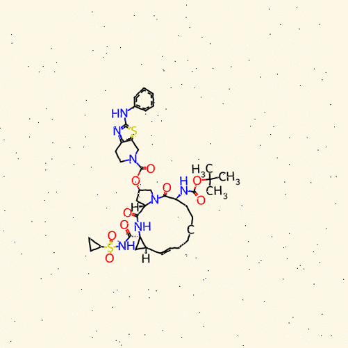 CC(C)(C)OC(=O)N[C@H]1CCCCC/C=C/[C@@H]2C[C@@]2(C(=O)NS(=O)(=O)C2CC2)NC(=O)[C@@H]2C[C@@H](OC(=O)N3CCc4nc(Nc5ccccc5)sc4C3)CN2C1=O